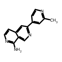 Cc1cc(-c2cc3ccnc(N)c3cn2)ccn1